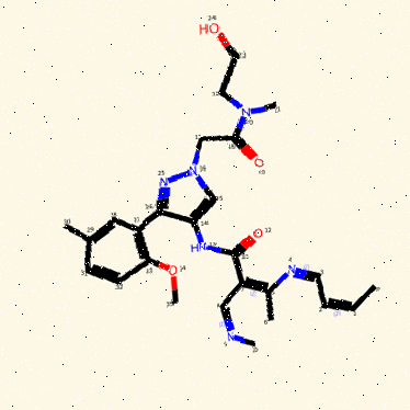 C\C=C/C=N\C(C)=C(\C=N/C)C(=O)Nc1cn(CC(=O)N(C)CCO)nc1-c1cc(C)ccc1OC